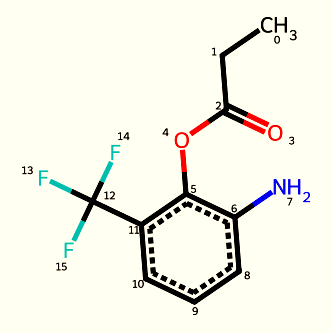 CCC(=O)Oc1c(N)cccc1C(F)(F)F